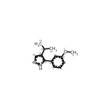 COc1cccc(-c2[nH]ncc2C(C)C)c1